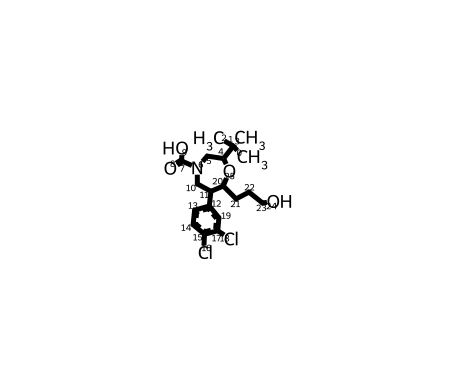 CC(C)(C)C1CN(C(=O)O)CC(c2ccc(Cl)c(Cl)c2)C(CCCO)O1